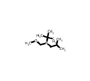 COCN(CC(C)C)C(C)(C)C